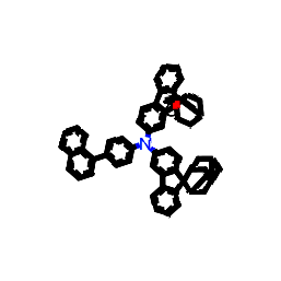 c1ccc2c(c1)-c1cc(N(c3ccc(-c4cccc5ccccc45)cc3)c3ccc4c(c3)C3(c5ccccc5-4)C4CC5CC(C4)CC3C5)ccc1C21C2CC3CC(C2)CC1C3